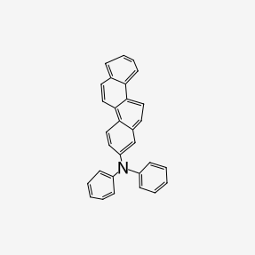 c1ccc(N(c2ccccc2)c2ccc3c(ccc4c5ccccc5ccc34)c2)cc1